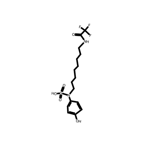 O=C(NCCCCCCCCN(c1ccc(O)cc1)S(=O)(=O)O)C(F)(F)F